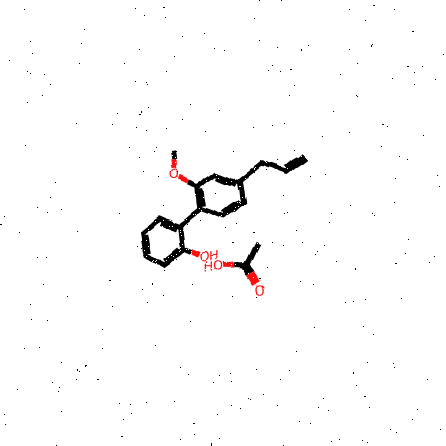 C=CCc1ccc(-c2ccccc2O)c(OC)c1.CC(=O)O